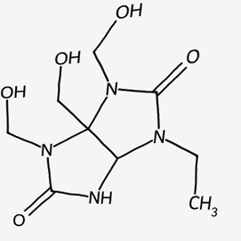 CCN1C(=O)N(CO)C2(CO)C1NC(=O)N2CO